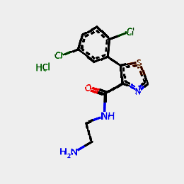 Cl.NCCNC(=O)c1ncsc1-c1cc(Cl)ccc1Cl